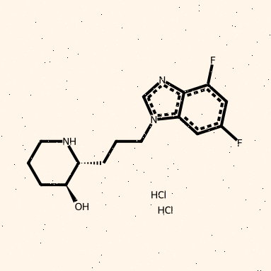 Cl.Cl.O[C@H]1CCCN[C@@H]1CCCn1cnc2c(F)cc(F)cc21